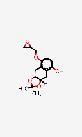 CC1(C)O[C@H]2Cc3c(O)ccc(OCC4CO4)c3C[C@@H]2O1